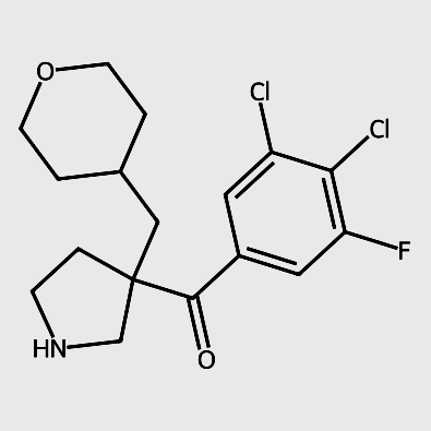 O=C(c1cc(F)c(Cl)c(Cl)c1)C1(CC2CCOCC2)CCNC1